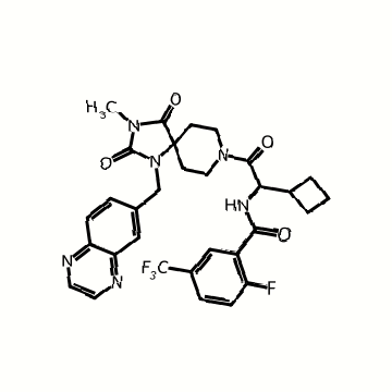 CN1C(=O)N(Cc2ccc3nccnc3c2)C2(CCN(C(=O)C(NC(=O)c3cc(C(F)(F)F)ccc3F)C3CCC3)CC2)C1=O